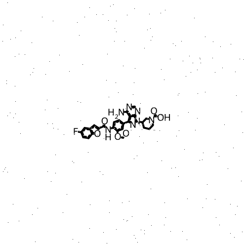 Nc1ncnc2c1c(-c1ccc(NC(=O)c3cc4cc(F)ccc4o3)c3c1OCO3)nn2C1CCCN(C(=O)O)C1